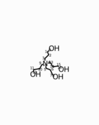 OCCC[N+](CCCO)(CCCO)CCCO